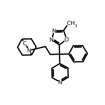 Cc1nnc(C(CCN2CC3CCC2CC3)(c2ccccc2)c2ccncc2)o1